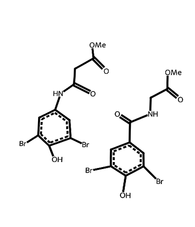 COC(=O)CC(=O)Nc1cc(Br)c(O)c(Br)c1.COC(=O)CNC(=O)c1cc(Br)c(O)c(Br)c1